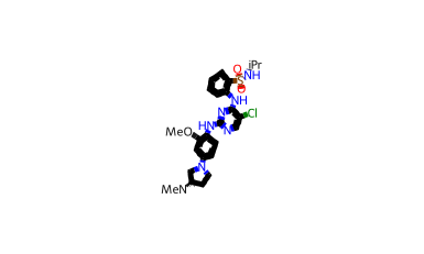 CN[C@@H]1CCN(c2ccc(Nc3ncc(Cl)c(Nc4ccccc4S(=O)(=O)NC(C)C)n3)c(OC)c2)C1